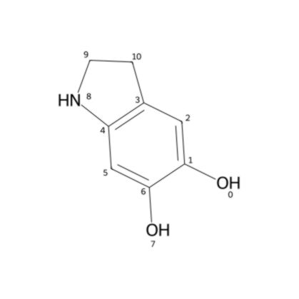 Oc1cc2c(cc1O)NCC2